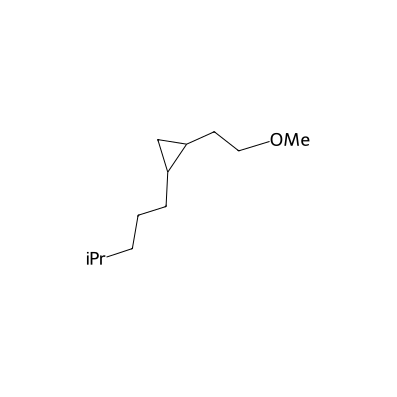 COCCC1CC1CCCC(C)C